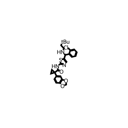 CC(C)(C)CCNC(c1cnc(NC(=O)C2(c3ccc4c(c3)OCO4)CC2)s1)c1ccccc1Cl